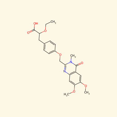 CCOC(Cc1ccc(OCc2nc3cc(OC)c(OC)cc3c(=O)n2C)cc1)C(=O)O